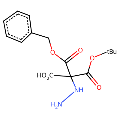 CC(C)(C)OC(=O)C(NN)(C(=O)O)C(=O)OCc1ccccc1